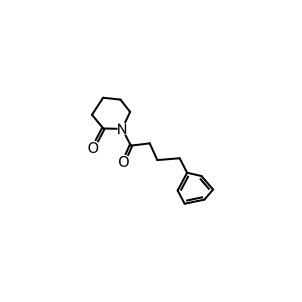 O=C1CCCCN1C(=O)CCCc1ccccc1